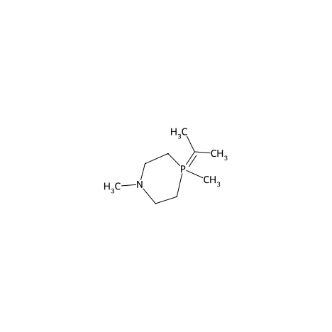 CC(C)=P1(C)CCN(C)CC1